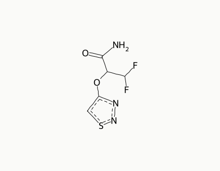 NC(=O)C(Oc1csnn1)C(F)F